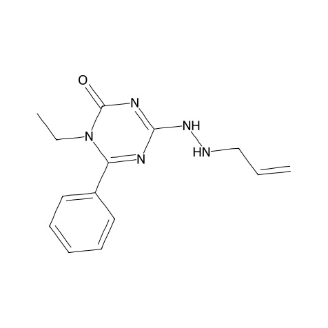 C=CCNNc1nc(-c2ccccc2)n(CC)c(=O)n1